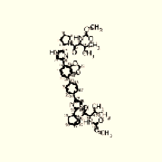 COC(=O)N[C@H](C(=O)N1CCC[C@H]1c1nc(-c2ccc(-c3ccc(-c4c[nH]c(C56CCC(CN5C(=O)[C@@H](NC(=O)OC)C(C)C)C6)n4)cc3)c3c2OCO3)c[nH]1)C(C)C